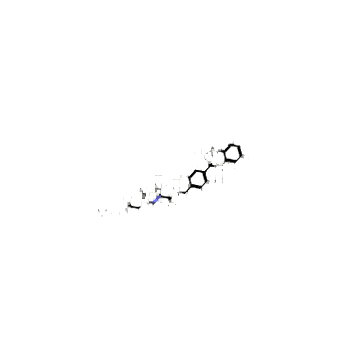 COC(=O)CN(N)/C=C(\N)C(=O)NCc1ccc(C(=O)Nc2ccccc2N)cc1